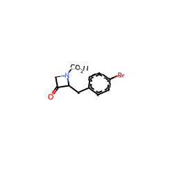 O=C1CN(C(=O)O)C1Cc1ccc(Br)cc1